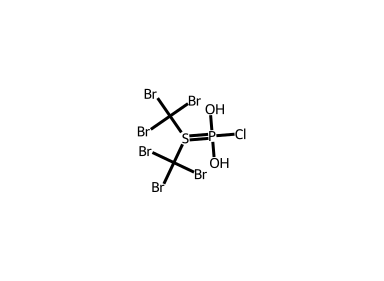 OP(O)(Cl)=S(C(Br)(Br)Br)C(Br)(Br)Br